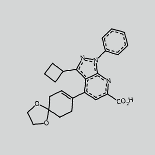 O=C(O)c1cc(C2=CCC3(CC2)OCCO3)c2c(C3CCC3)nn(-c3ccccc3)c2n1